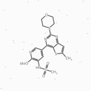 COc1ncc(-c2nc(N3CCOCC3)nc3cc(C)sc23)cc1NS(C)(=O)=O